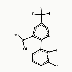 OB(O)c1cc(C(F)(F)F)cnc1-c1cccc(F)c1F